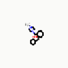 CN1CCN(CC2CCCCCC2(O)CC2CCCCC2)CC1